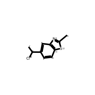 Cc1nc2cc(C(C)Cl)ccc2s1